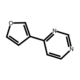 [c]1nccc(-c2ccoc2)n1